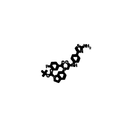 CC(C)(C)OC(=O)N1CCc2ccc(N(CC(=O)Nc3ccc(-c4csc(N)n4)cc3)C(=O)c3ccc(F)cc3)cc21